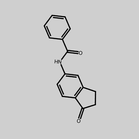 O=C(Nc1ccc2c(c1)CCC2=O)c1ccccc1